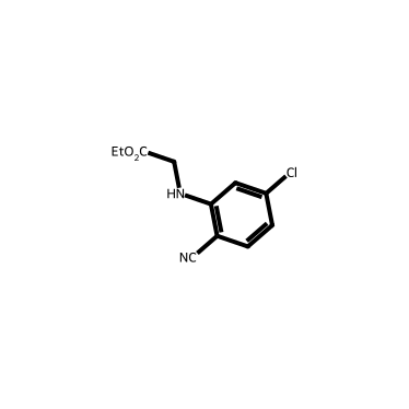 CCOC(=O)CNc1cc(Cl)ccc1C#N